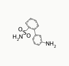 Nc1cccc(-c2ccccc2S(N)(=O)=O)c1